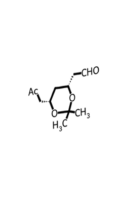 CC(=O)C[C@@H]1C[C@H](CC=O)OC(C)(C)O1